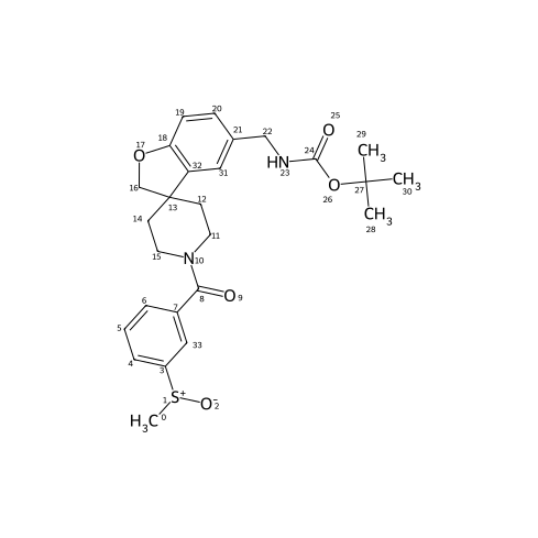 C[S+]([O-])c1cccc(C(=O)N2CCC3(CC2)COc2ccc(CNC(=O)OC(C)(C)C)cc23)c1